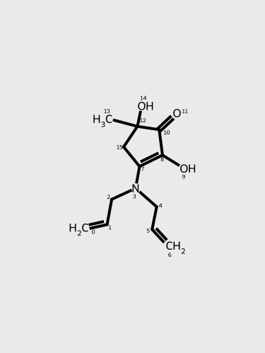 C=CCN(CC=C)C1=C(O)C(=O)C(C)(O)C1